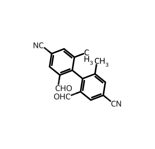 Cc1cc(C#N)cc(C=O)c1-c1c(C)cc(C#N)cc1C=O